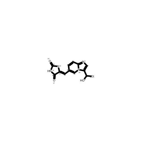 CCC(O)c1cnc2ccc(/C=C3\SC(=O)NC3=O)cn12